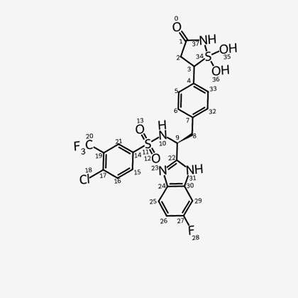 O=C1CC(c2ccc(C[C@H](NS(=O)(=O)c3ccc(Cl)c(C(F)(F)F)c3)c3nc4ccc(F)cc4[nH]3)cc2)S(O)(O)N1